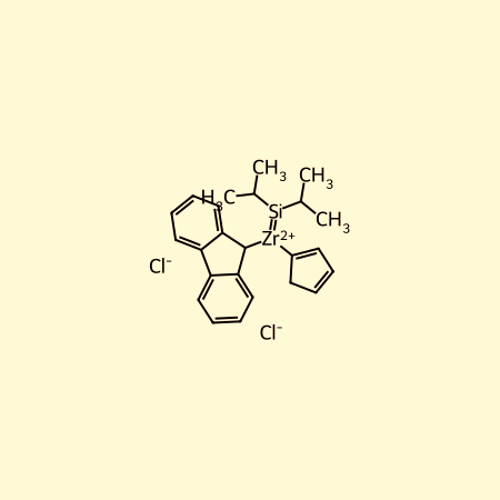 CC(C)[Si](C(C)C)=[Zr+2]([C]1=CC=CC1)[CH]1c2ccccc2-c2ccccc21.[Cl-].[Cl-]